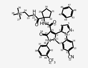 Cn1c(-c2ccnn2-c2ccc(C#N)cc2)c(C(=O)NC2(C(=O)NCC[N+](C)(C)C)CCCC2)c(=O)n1-c1cccc(C(F)(F)F)c1.c1ccccc1